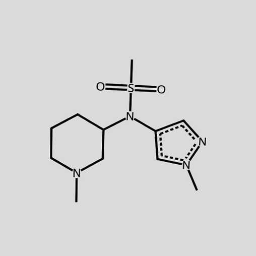 CN1CCCC(N(c2cnn(C)c2)S(C)(=O)=O)C1